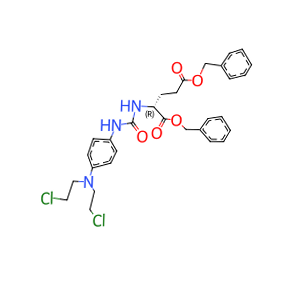 O=C(Nc1ccc(N(CCCl)CCCl)cc1)N[C@H](CCC(=O)OCc1ccccc1)C(=O)OCc1ccccc1